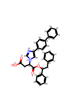 O=C(O)CC(C(=O)OC(Cc1ccccc1)c1ccccc1)n1cnc(-c2ccc(-c3ccccc3)cc2)c1